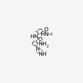 Cc1ccc(C(=O)NC2CC2)cc1NC(=O)c1cccc(N2CCNCC2)c1N